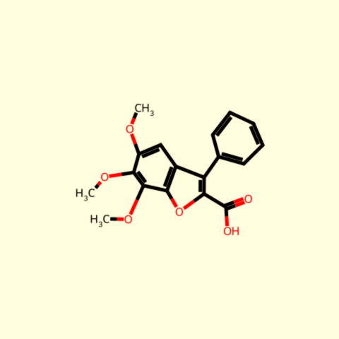 COc1cc2c(-c3ccccc3)c(C(=O)O)oc2c(OC)c1OC